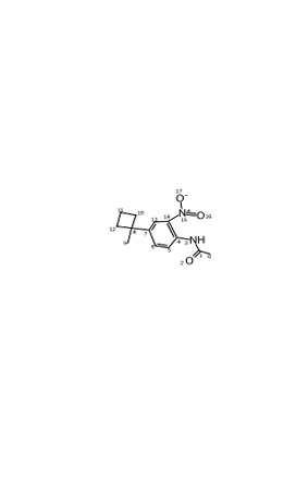 CC(=O)Nc1ccc(C2(C)CCC2)cc1[N+](=O)[O-]